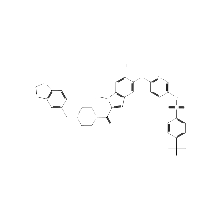 Br.Cn1c(C(=O)N2CCN(Cc3ccc4c(c3)OCO4)CC2)cc2cc(Oc3ccc(NS(=O)(=O)c4ccc(C(F)(F)F)cc4)cn3)ccc21